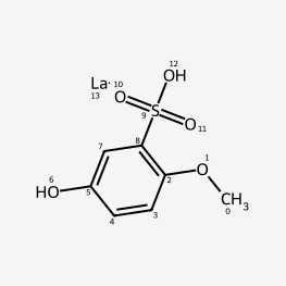 COc1ccc(O)cc1S(=O)(=O)O.[La]